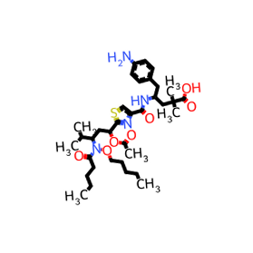 CCCCCON(C(=O)CCCC)C(CC(OC(C)=O)c1nc(C(=O)NC(Cc2ccc(N)cc2)CC(C)(C)C(=O)O)cs1)C(C)C